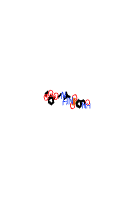 O=C1Cc2cc(S(=O)(=O)NCC3CN(CCOc4cccc5c4OCCO5)C3)ccc2N1